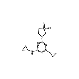 O=S1(=O)CCN(c2nc(NC3CC3)nc(C3CC3)n2)C1